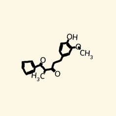 COc1cc(CCC(=O)C(C)C(=O)c2ccccc2)ccc1O